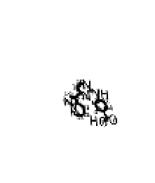 O=C(O)c1ccc(Nc2nccc(-c3cnn4ncccc34)n2)cc1